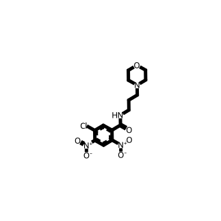 O=C(NCCCN1CCOCC1)c1cc(Cl)c([N+](=O)[O-])cc1[N+](=O)[O-]